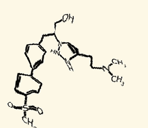 CN(C)CCC1=CN([C@H](CO)Cc2ccc(-c3ccc(S(C)(=O)=O)cc3)cc2)NN1